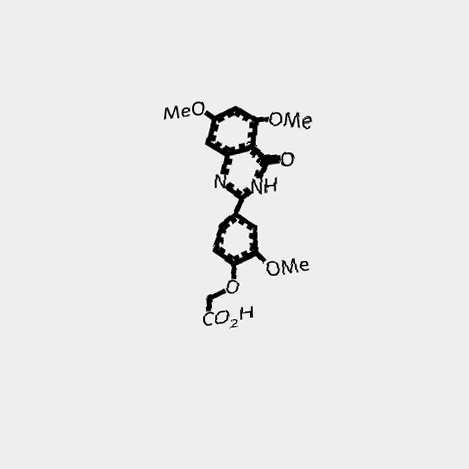 COc1cc(OC)c2c(=O)[nH]c(-c3ccc(OCC(=O)O)c(OC)c3)nc2c1